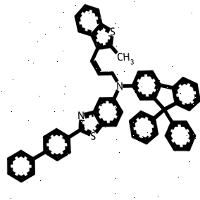 Cc1sc2ccccc2c1/C=C\CN(c1ccc2c(c1)C(c1ccccc1)(c1ccccc1)c1ccccc1-2)c1ccc2sc(-c3ccc(-c4ccccc4)cc3)nc2c1